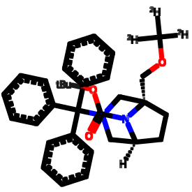 [2H]C([2H])([2H])OC[C@@]12CC[C@@H](CN(C(c3ccccc3)(c3ccccc3)c3ccccc3)C1)N2C(=O)OC(C)(C)C